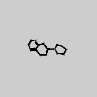 c1cnc2c(c1)CCC(N1CCCCC1)C2